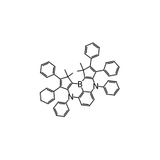 CC1(C)C2=C(C(C3=CCCC=C3)=C1c1ccccc1)N(c1ccccc1)c1cccc3c1B2C1=C(C(c2ccccc2)=C(c2ccccc2)C1(C)C)N3c1ccccc1